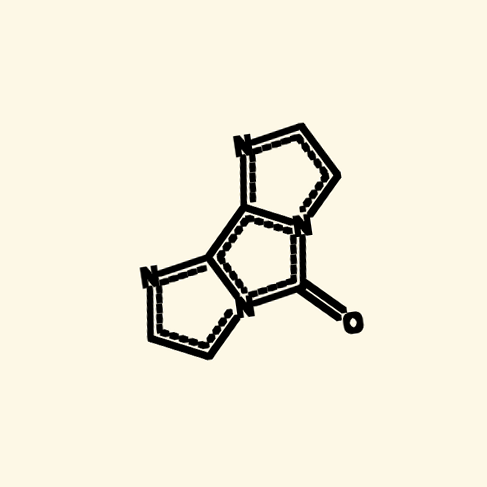 O=c1n2ccnc2c2nccn12